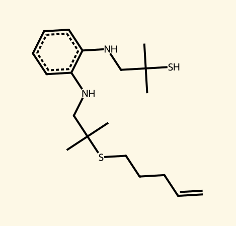 C=CCCCSC(C)(C)CNc1ccccc1NCC(C)(C)S